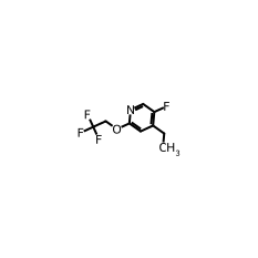 CCc1cc(OCC(F)(F)F)ncc1F